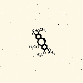 COc1cc2c(cc1OC)CC(OC)c1cc(OC)c(OC)cc1C#C2